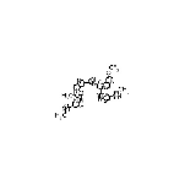 Cc1cc(-c2cc(F)c3nnc(C(CCn4cc(-c5cnc6ccn([C@H](C)c7nnc8c(F)cc(-c9cc(C)no9)cn78)c(=O)c6c5)cn4)n4ccc5ncc(OCC(F)(F)F)cc5c4=O)n3c2)on1